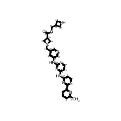 Cc1cccc(-c2nccc(Nc3ccnc(Nc4cncc(CN5CC(C(=O)OCC6CNC6)C5)c4)n3)n2)n1